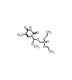 CCOP(=O)(COC(OC)n1cc(C)c(=O)[nH]c1=O)OCC